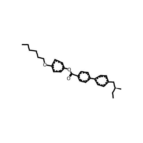 CCCCCCOc1ccc(OC(=O)c2ccc(-c3ccc(C[C@@H](C)CC)cc3)cc2)cc1